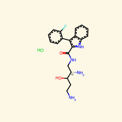 Cl.NCCC(O)[C@@H](N)CNC(=O)c1[nH]c2ccccc2c1-c1ccccc1F